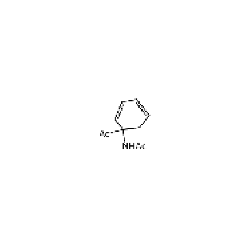 CC(=O)NC1(C(C)=O)C=CC=CC1